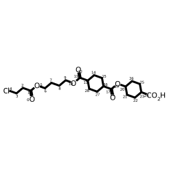 O=C(CCCl)OCCCCOC(=O)C1CCC(C(=O)OC2CCC(C(=O)O)CC2)CC1